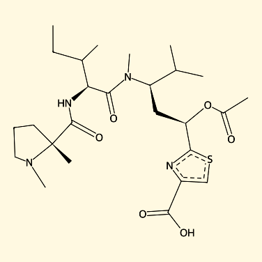 CCC(C)[C@H](NC(=O)[C@@]1(C)CCCN1C)C(=O)N(C)[C@H](C[C@@H](OC(C)=O)c1nc(C(=O)O)cs1)C(C)C